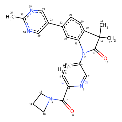 C=C(/C=N\C(=C/C)C(=O)N1CCC1)N1C(=O)C(C)(C)c2ccc(-c3cnc(C)nc3)cc21